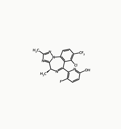 Cc1nc2n(n1)-c1ccc(C(F)(F)F)c(Cl)c1C(c1nc(O)ccc1F)=N[C@H]2C